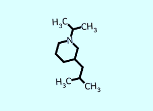 CC(C)CC1CCCN(C(C)C)C1